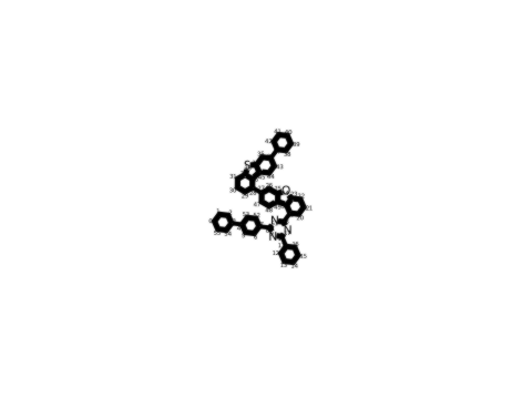 c1ccc(-c2ccc(-c3nc(-c4ccccc4)nc(-c4cccc5oc6cc(-c7cccc8sc9cc(-c%10ccccc%10)ccc9c78)ccc6c45)n3)cc2)cc1